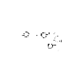 COc1ccccc1CN(C(=O)C1CNCC[C@@H]1NC(=O)c1ccc(OCCOc2c(Cl)cc(C)cc2Cl)cc1)C1CC1.Cl